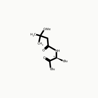 COC(C)(C)CC(=O)N[C@H](C(=O)C(C)(C)C)C(C)(C)C